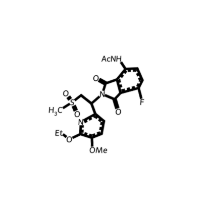 CCOc1nc(C(CS(C)(=O)=O)N2C(=O)c3c(F)ccc(NC(C)=O)c3C2=O)ccc1OC